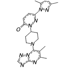 Cc1cc(C)n(-c2ccc(=O)n(C3CCN(c4c(C)c(C)nc5ncnn45)CC3)n2)n1